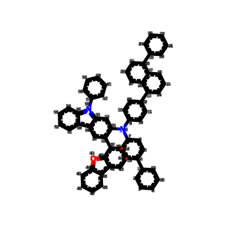 c1ccc(-c2ccc(N(c3ccc(-c4cccc5c(-c6ccccc6)cccc45)cc3)c3cc4c(cc3-c3cccc5c3oc3ccccc35)c3ccccc3n4-c3ccccc3)cc2)cc1